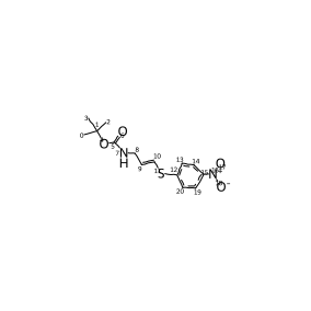 CC(C)(C)OC(=O)NCC=CSc1ccc([N+](=O)[O-])cc1